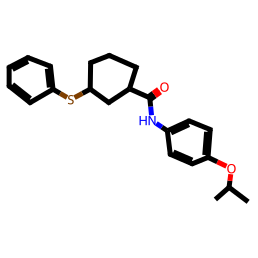 CC(C)Oc1ccc(NC(=O)C2CCCC(Sc3ccccc3)C2)cc1